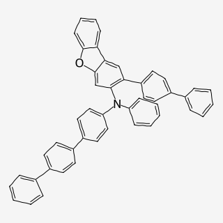 c1ccc(-c2ccc(-c3ccc(N(c4ccccc4)c4cc5oc6ccccc6c5cc4-c4ccc(-c5ccccc5)cc4)cc3)cc2)cc1